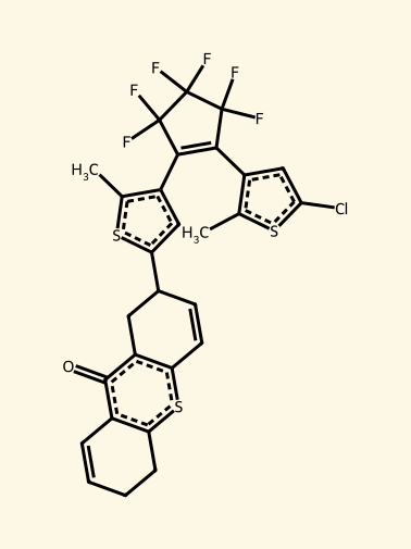 Cc1sc(Cl)cc1C1=C(c2cc(C3C=Cc4sc5c(c(=O)c4C3)C=CCC5)sc2C)C(F)(F)C(F)(F)C1(F)F